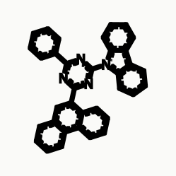 c1ccc(-c2nc(-c3cc4ccccc4c4ccccc34)nc(-n3c4ccccc4c4ccccc43)n2)cc1